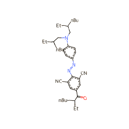 CCCCC(CC)CN(CC(CC)CCCC)c1ccc(N=Nc2c(C#N)cc(C(=O)C(CC)CCCC)cc2C#N)cc1